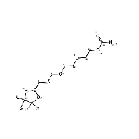 CC1(C)OB(C=CCOCCOCCOC(N)=O)OC1(C)C